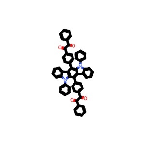 O=C(C(=O)c1ccc(-c2c3c4ccccc4n(-c4ccccc4)c3c(-c3ccc(C(=O)C(=O)c4ccccc4)cc3)c3c4ccccc4n(-c4ccccc4)c23)cc1)c1ccccc1